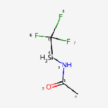 CC(=O)N[SiH2]C(F)(F)F